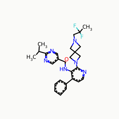 CC(C)c1ncc(C(=O)Nc2c(-c3ccccc3)ccnc2N2CC3(CN(CC(C)(F)F)C3)C2)cn1